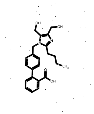 CCCCc1nc(CO)c(CO)n1Cc1ccc(-c2ccccc2C(=O)O)cc1